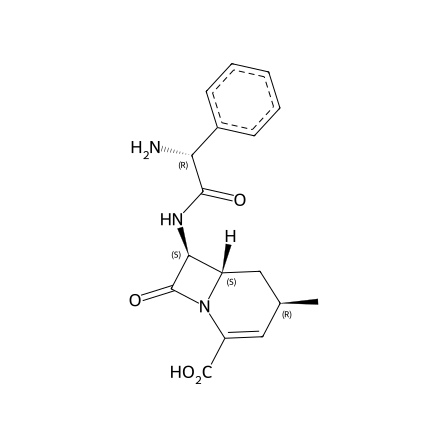 C[C@H]1C=C(C(=O)O)N2C(=O)[C@@H](NC(=O)[C@H](N)c3ccccc3)[C@@H]2C1